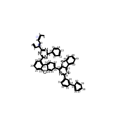 C=C/C(=C\C=C/C)c1nc(-c2ccccc2)nc(-c2cccc3oc4cc(-c5nc(-c6cccc(-c7ccccc7)c6)nc6c5sc5ccccc56)ccc4c23)n1